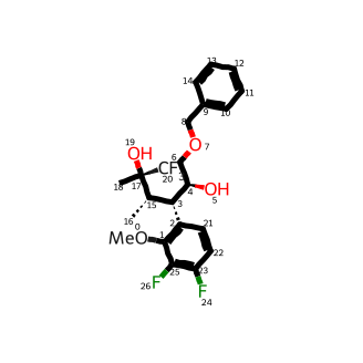 COc1c([C@@H]([C@H](O)COCc2ccccc2)[C@H](C)[C@](C)(O)C(F)(F)F)ccc(F)c1F